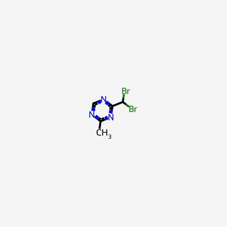 Cc1ncnc(C(Br)Br)n1